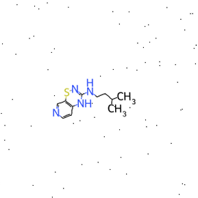 CC(C)CCNC1=NSc2cnccc2N1